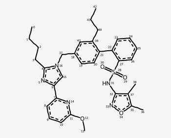 CCCCc1nc(-c2cccc(OC)n2)cn1Cc1ccc(-c2ccccc2S(=O)(=O)Nc2noc(C)c2C)c(CCC)c1